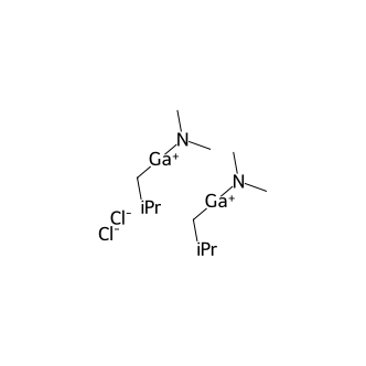 CC(C)[CH2][Ga+][N](C)C.CC(C)[CH2][Ga+][N](C)C.[Cl-].[Cl-]